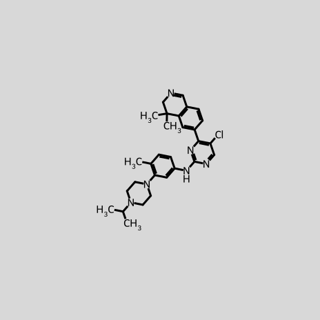 Cc1ccc(Nc2ncc(Cl)c(-c3ccc4c(c3)C(C)(C)CN=C4)n2)cc1N1CCN(C(C)C)CC1